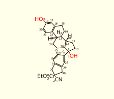 CCOC(=O)C1(C#N)Cc2ccc([C@@]3(O)CC[C@H]4[C@@H]5CCc6cc(O)ccc6[C@H]5CC[C@@]43C)cc2C1